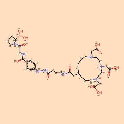 O=C(O)CN1CCCCC(CC(=O)NCCCC(=O)NNc2ccc(C(=O)NCC(=O)N3CCC[C@H]3B(O)O)cc2)CCCN(CC(=O)O)CCN(CC(=O)O)CC1